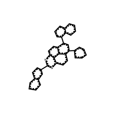 c1ccc(-c2cc(-c3cccc4ccccc34)c3ccc4nc(-c5ccc6ccccc6c5)nc5ccc2c3c54)cc1